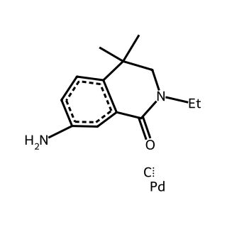 CCN1CC(C)(C)c2ccc(N)cc2C1=O.[C].[Pd]